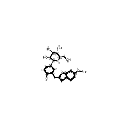 CCCOc1ccc2cc(Cc3cc([C@@H]4O[C@H](CO)[C@@H](O)[C@H](O)[C@H]4O)ccc3Cl)sc2c1